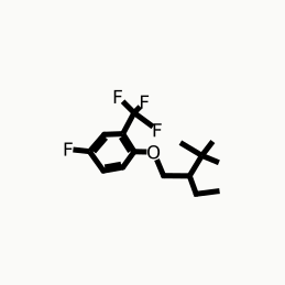 CCC(COc1ccc(F)cc1C(F)(F)F)C(C)(C)C